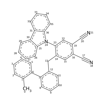 Cc1ccccc1-c1ccccc1Cc1cc(C#N)c(C#N)cc1-n1c2ccccc2c2ccccc21